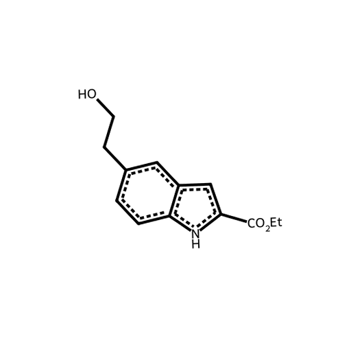 CCOC(=O)c1cc2cc(CCO)ccc2[nH]1